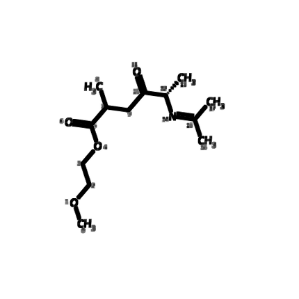 COCCOC(=O)C(C)CC(=O)[C@H](C)N=C(C)C